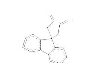 C=CCC1(CC=C)c2c[c]ccc2-c2cc[c]cc21